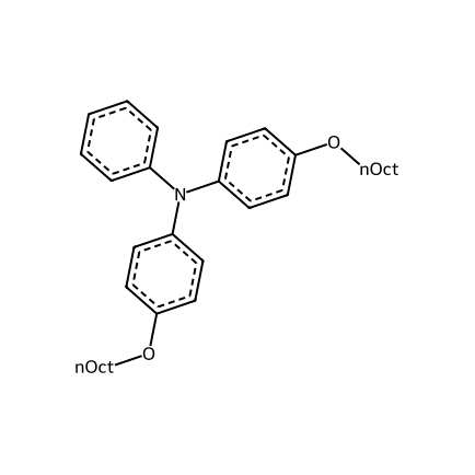 CCCCCCCCOc1ccc(N(c2ccccc2)c2ccc(OCCCCCCCC)cc2)cc1